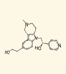 CN1CCc2c(c3cc(CCO)ccc3n2C[C@H](O)c2ccncc2)C1